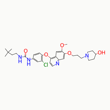 COc1cc2c(Oc3ccc(NC(=O)NCCC(C)(C)C)cc3Cl)ccnc2cc1OCCCN1CCC(O)CC1